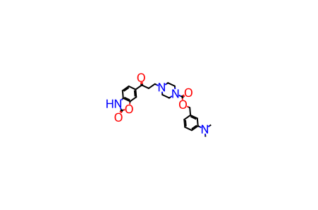 CN(C)c1cccc(COC(=O)N2CCN(CCC(=O)c3ccc4[nH]c(=O)oc4c3)CC2)c1